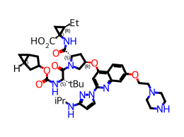 CC[C@@H]1C[C@]1(NC(=O)[C@@H]1C[C@@H](Oc2cc(-n3ccc(NC(C)C)n3)nc3cc(OCCN4CCNCC4)ccc23)CN1C(=O)[C@@H](NC(=O)OC1CC2C[C@H]2C1)C(C)(C)C)C(=O)O